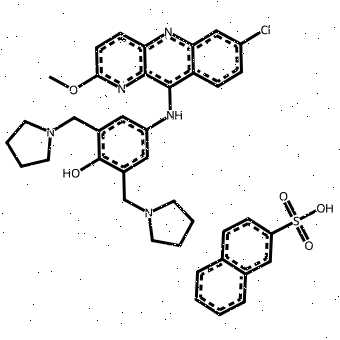 COc1ccc2nc3cc(Cl)ccc3c(Nc3cc(CN4CCCC4)c(O)c(CN4CCCC4)c3)c2n1.O=S(=O)(O)c1ccc2ccccc2c1